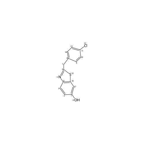 Oc1ccc2nc(Cc3ccc(Cl)cc3)sc2c1